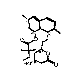 CCC(C)(C)C(=O)O[C@H]1C[C@@H](C)C=C2C=CC(C)[C@H](CC[C@@H]3C[C@@H](O)CC(=O)O3)C21